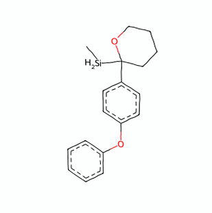 C[SiH2]C1(c2ccc(Oc3ccccc3)cc2)CCCCO1